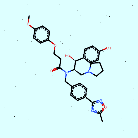 COc1ccc(OCCC(=O)N(Cc2ccc(-c3noc(C)n3)cc2)[C@H](CN2CCCC2)[C@H](O)c2ccc(O)cc2)cc1